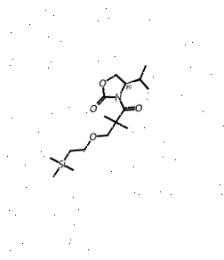 CC(C)[C@@H]1COC(=O)N1C(=O)C(C)(C)COCC[Si](C)(C)C